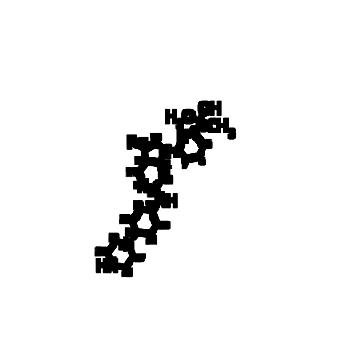 CC(C)(O)c1cccc(-n2cc(F)c3cnc(Nc4ccc(N5CCNCC5)cc4)nc32)n1